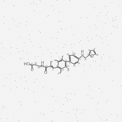 C/C(=C\c1c(C)c(C)c(-c2ccc(NCc3ccco3)cc2)c(C)c1C)C(=O)NCCC(=O)O